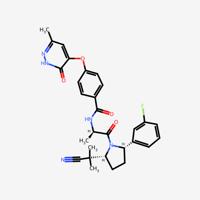 Cc1cc(Oc2ccc(C(=O)N[C@H](C)C(=O)N3[C@H](c4cccc(F)c4)CC[C@@H]3C(C)(C)C#N)cc2)c(=O)[nH]n1